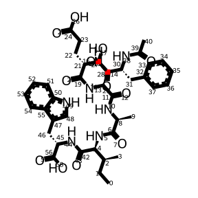 CC[C@H](C)[C@H](NC(=O)[C@H](C)NC(=O)[C@H](CC(=O)O)NC(=O)[C@H](CCC(=O)O)NC(=O)[C@@H](Cc1ccccc1)NC(C)=O)C(=O)N[C@@H](Cc1c[nH]c2ccccc12)C(=O)O